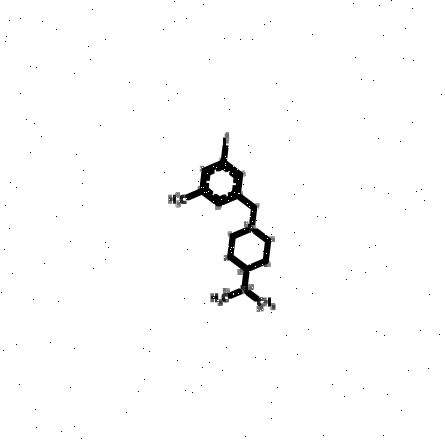 Cc1cc(F)cc(CN2CCC(N(C)C)CC2)c1